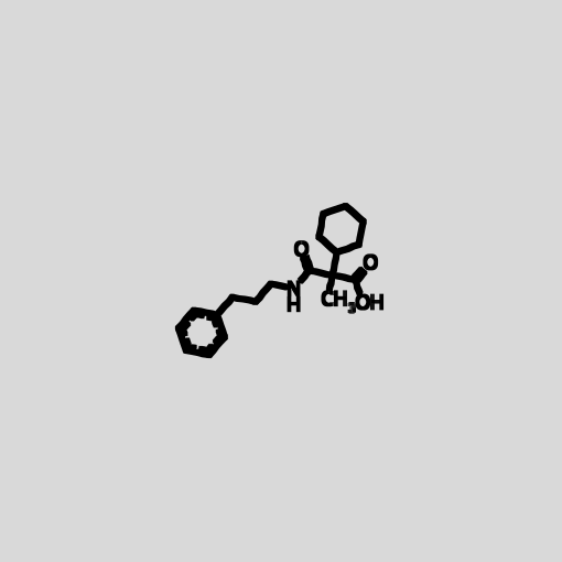 CC(C(=O)O)(C(=O)NCCCc1ccccc1)C1CCCCC1